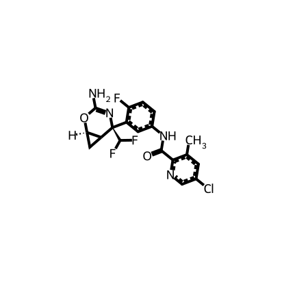 Cc1cc(Cl)cnc1C(=O)Nc1ccc(F)c([C@@]2(C(F)F)N=C(N)O[C@@H]3CC32)c1